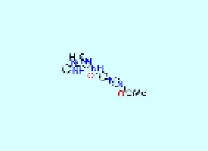 COC(=O)CN1CCN(c2ccc(C(=O)Nc3cc(-c4nc5ccccc5[nH]4)n(C)n3)cc2)CC1